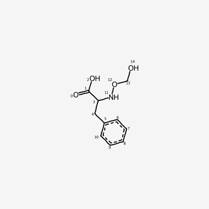 O=C(O)C(Cc1ccccc1)NOCO